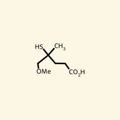 COCC(C)(S)CCC(=O)O